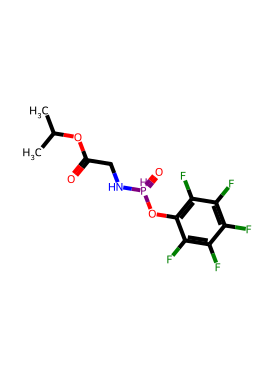 CC(C)OC(=O)CN[PH](=O)Oc1c(F)c(F)c(F)c(F)c1F